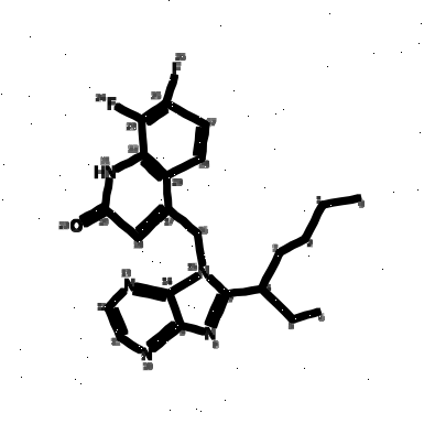 CCCCC(CC)c1nc2nccnc2n1Cc1cc(=O)[nH]c2c(F)c(F)ccc12